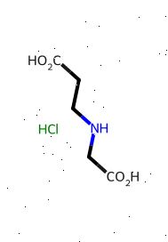 Cl.O=C(O)CCNCC(=O)O